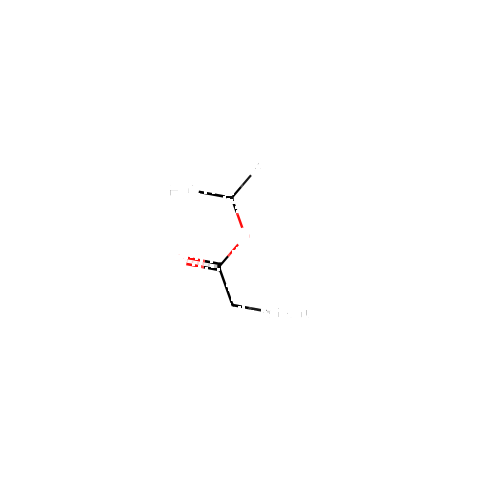 CCCCCCC(=O)OC(C)C(C)=O